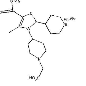 Br.Br.CNC(=O)C1=C(C)N(C2CCN(CC(=O)O)CC2)C(C2CCNCC2)S1